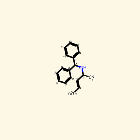 CCCC=C[C@H](C#N)NC(c1ccccc1)c1ccccc1